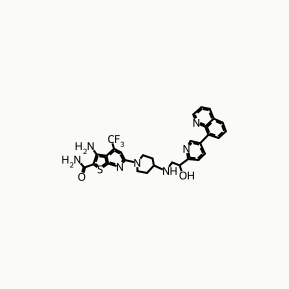 NC(=O)c1sc2nc(N3CCC(NCC(O)c4ccc(-c5cccc6cccnc56)cn4)CC3)cc(C(F)(F)F)c2c1N